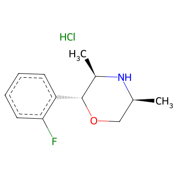 C[C@H]1CO[C@H](c2ccccc2F)[C@@H](C)N1.Cl